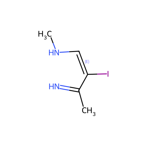 CN/C=C(/I)C(C)=N